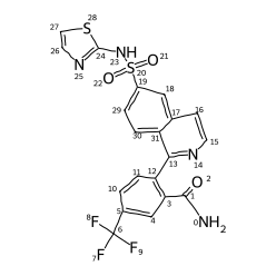 NC(=O)c1cc(C(F)(F)F)ccc1-c1nccc2cc(S(=O)(=O)Nc3nccs3)ccc12